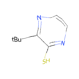 CC(C)(C)c1nccnc1S